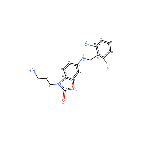 NCCCn1c(=O)oc2cc(NCc3c(Cl)cccc3Cl)ccc21